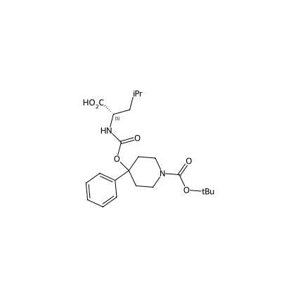 CC(C)C[C@H](NC(=O)OC1(c2ccccc2)CCN(C(=O)OC(C)(C)C)CC1)C(=O)O